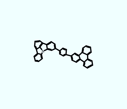 c1ccc2c(c1)c1ccccc1c1cc(-c3ccc(-c4ccc5c6cccc7c8ccccc8n(c5c4)c76)cc3)ccc21